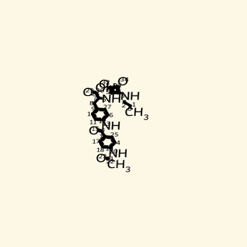 CCCNc1c(NC(Cc2ccc(NC(=O)c3ccc(NC(C)=O)cc3)cc2)C(=O)O)c(=O)c1=O